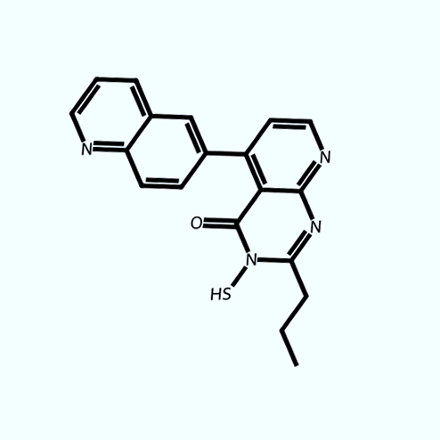 CCCc1nc2nccc(-c3ccc4ncccc4c3)c2c(=O)n1S